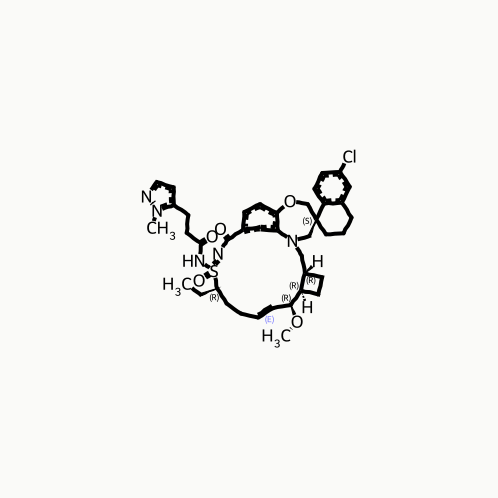 CC[C@@H]1CC/C=C/[C@H](OC)[C@@H]2CC[C@H]2CN2C[C@@]3(CCCc4cc(Cl)ccc43)COc3ccc(cc32)C(=O)N=S1(=O)NC(=O)CCc1ccnn1C